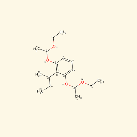 CCOC(C)Oc1cccc(OC(C)OCC)c1C(C)CC